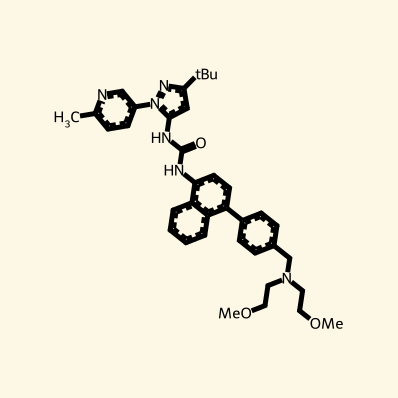 COCCN(CCOC)Cc1ccc(-c2ccc(NC(=O)Nc3cc(C(C)(C)C)nn3-c3ccc(C)nc3)c3ccccc23)cc1